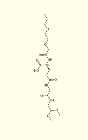 CCCOCCOCC(=O)N[C@@H](CCC(=O)NCC(=O)NCC(OC)OC)C(=O)O